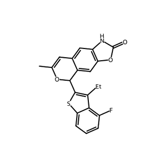 CCc1c(C2OC(C)=Cc3cc4[nH]c(=O)oc4cc32)sc2cccc(F)c12